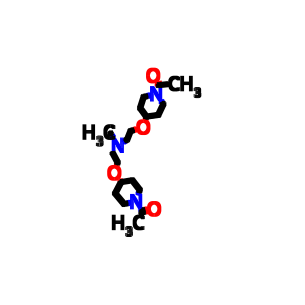 CC(=O)N1CCC(OCCN(C)CCOC2CCN(C(C)=O)CC2)CC1